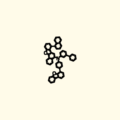 c1ccc(-c2cccc(N(c3ccc(-c4cccc5c4oc4ccccc45)cc3)c3cc4c(oc5cccc(-c6cccc7ccccc67)c54)c4ccccc34)c2)cc1